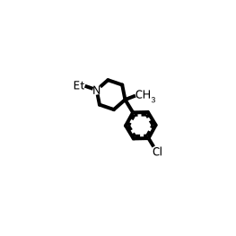 CCN1CCC(C)(c2ccc(Cl)cc2)CC1